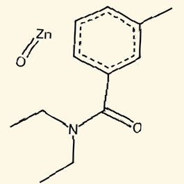 CCN(CC)C(=O)c1cccc(C)c1.[O]=[Zn]